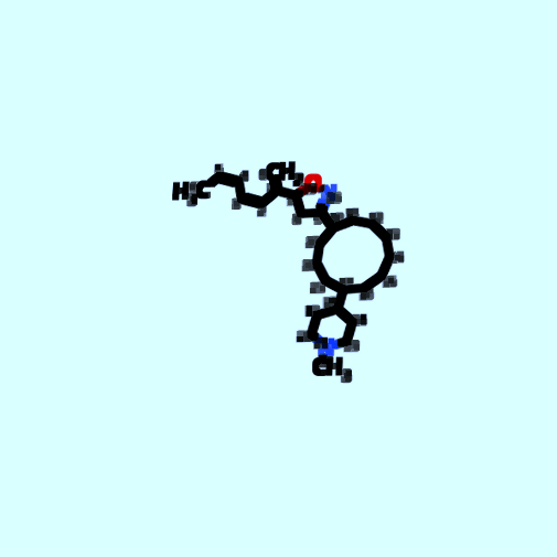 C=C(/C=C\C=C/C)C1CC(C2CCCCCCC(C3CCN(C)CC3)CCC2)=NO1